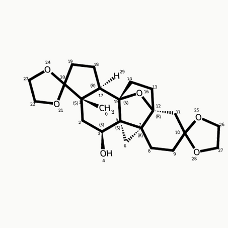 C[C@]12C[C@H](O)[C@]34C[C@]35CCC3(C[C@]56CC[C@]4(O6)[C@@H]1CCC21OCCO1)OCCO3